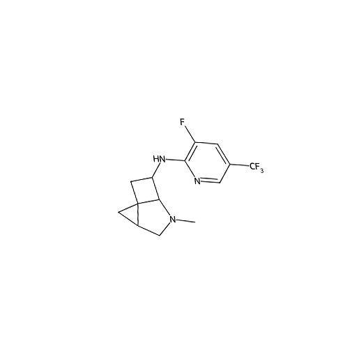 CN1CC2CC23CC(Nc2ncc(C(F)(F)F)cc2F)C13